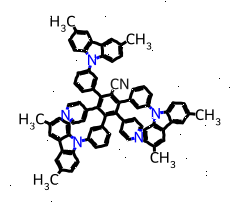 Cc1ccc2c(c1)c1cc(C)ccc1n2-c1cccc(-c2c(C#N)c(-c3cccc(-n4c5ccc(C)cc5c5cc(C)ccc54)c3)c(-c3ccncc3)c(-c3cccc(-n4c5ccc(C)cc5c5cc(C)ccc54)c3)c2-c2ccncc2)c1